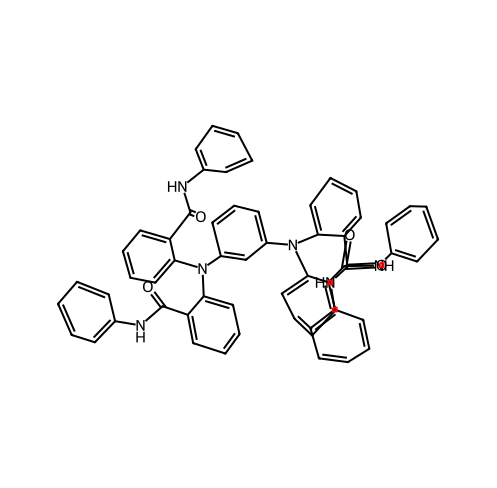 O=C(Nc1ccccc1)c1ccccc1N(c1cccc(N(c2ccccc2C(=O)Nc2ccccc2)c2ccccc2C(=O)Nc2ccccc2)c1)c1ccccc1C(=O)Nc1ccccc1